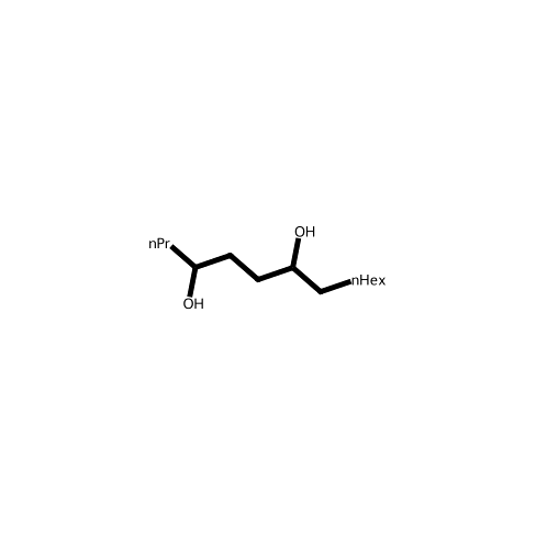 CCCCCCCC(O)CCC(O)CCC